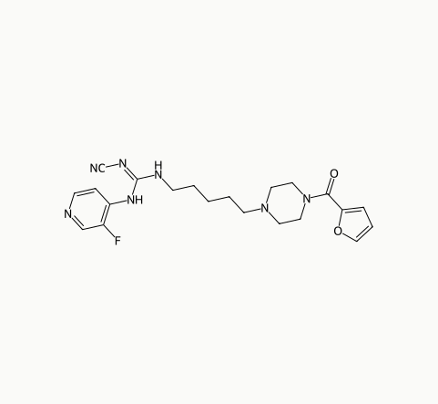 N#CN=C(NCCCCCN1CCN(C(=O)c2ccco2)CC1)Nc1ccncc1F